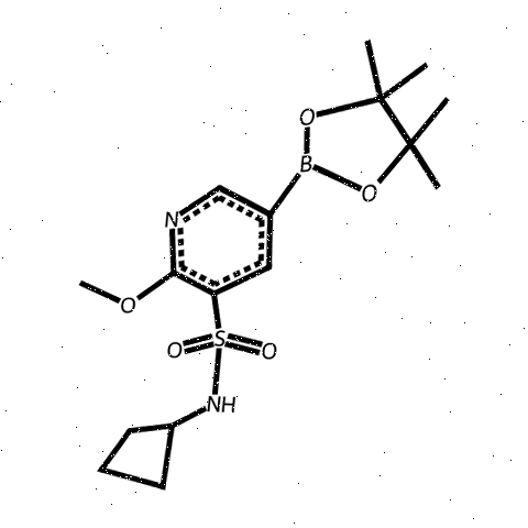 COc1ncc(B2OC(C)(C)C(C)(C)O2)cc1S(=O)(=O)NC1CCC1